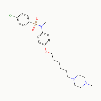 CN1CCN(CCCCCCOc2ccc(N(C)S(=O)(=O)c3ccc(Cl)cc3)cc2)CC1